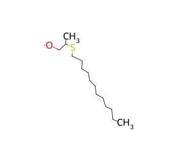 CCCCCCCCCCCCSC(C)C[O]